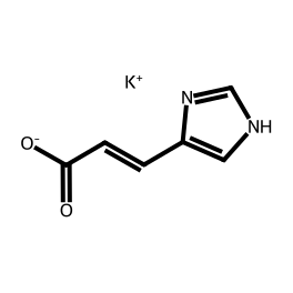 O=C([O-])C=Cc1c[nH]cn1.[K+]